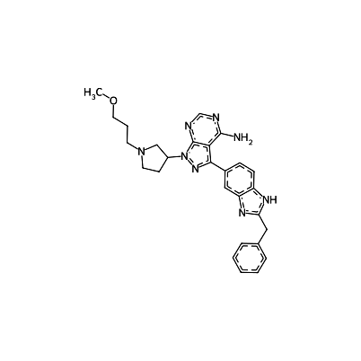 COCCCN1CCC(n2nc(-c3ccc4[nH]c(Cc5ccccc5)nc4c3)c3c(N)ncnc32)C1